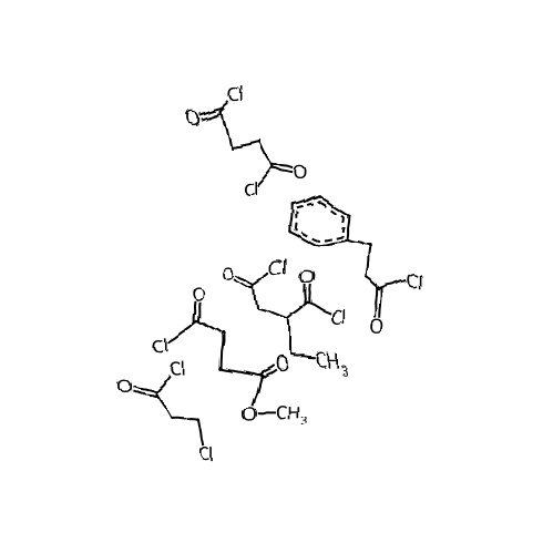 CCC(CC(=O)Cl)C(=O)Cl.COC(=O)CCC(=O)Cl.O=C(Cl)CCC(=O)Cl.O=C(Cl)CCCl.O=C(Cl)CCc1ccccc1